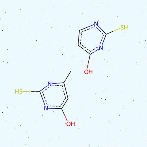 Cc1cc(O)nc(S)n1.Oc1ccnc(S)n1